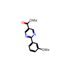 COC(=O)c1cnc(-c2cccc(OC)c2)nc1